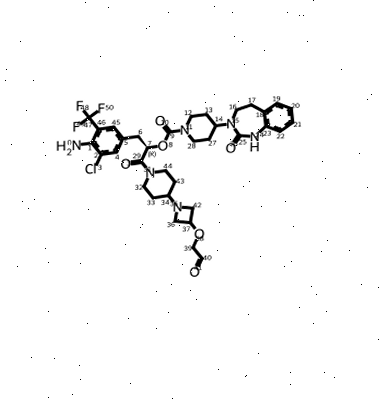 Nc1c(Cl)cc(C[C@@H](OC(=O)N2CCC(N3CCc4ccccc4NC3=O)CC2)C(=O)N2CCC(N3CC(OCC=O)C3)CC2)cc1C(F)(F)F